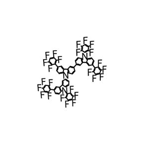 Fc1c(F)c(F)c(-c2ccc3c(c2)c2cc(-c4ccc5c(c4)c4cc(-c6c(F)c(F)c(F)c(F)c6F)ccc4n5-c4c(F)c(F)c(F)c(F)c4F)ccc2n3-c2ccc3c(c2)c2cc(-c4c(F)c(F)c(F)c(F)c4F)ccc2n3-c2c(F)c(F)c(F)c(F)c2F)c(F)c1F